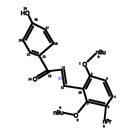 CCCCOc1ccc(CCC)c(OCCCC)c1/C=C/C(=O)c1ccc(O)cc1